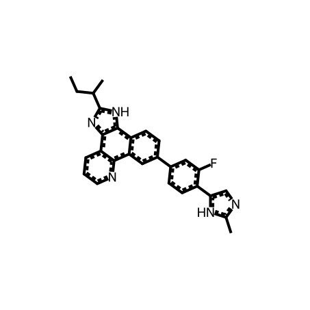 CCC(C)c1nc2c3cccnc3c3cc(-c4ccc(-c5cnc(C)[nH]5)c(F)c4)ccc3c2[nH]1